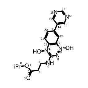 CC(C)OC(=O)CCNc1n[n+](O)c2cc(-c3cncnc3)ccc2[n+]1O